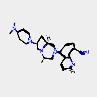 [2H]c1ccc2c(N3C[C@@H]4C[C@H](N5CCC(N(C)C)CC5)CN4[C@H](C)C3)ccc(C#N)c2n1